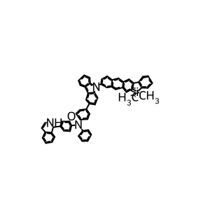 C[Si]1(C)c2ccccc2-c2cc3cc4ccc(-n5c6ccccc6c6cc(-c7ccc8c(c7)Oc7cc(C9NC=Cc%10ccccc%109)ccc7N8c7ccccc7)ccc65)cc4cc3cc21